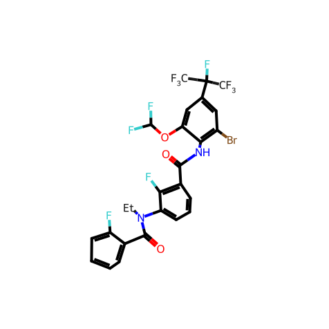 CCN(C(=O)c1ccccc1F)c1cccc(C(=O)Nc2c(Br)cc(C(F)(C(F)(F)F)C(F)(F)F)cc2OC(F)F)c1F